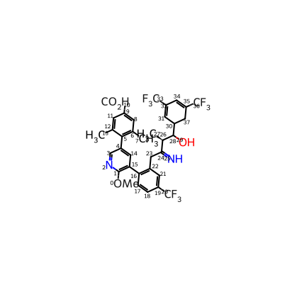 COc1ncc(-c2c(C)cc(C(=O)O)cc2C)cc1-c1ccc(C(F)(F)F)cc1CC(=N)[C@@H](C)C(O)C1C=C(C(F)(F)F)C=C(C(F)(F)F)C1